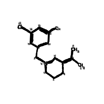 CC(C)=C1CCCN(Cc2cc(Cl)cc(Cl)c2)C1